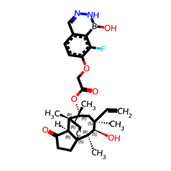 C=C[C@]1(C)C[C@@H](OC(=O)COc2ccc3c(c2F)B(O)NN=C3)[C@]2(C)[C@H](C)CC[C@]3(CCC(=O)[C@H]32)[C@@H](C)[C@@H]1O